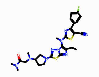 CCc1nc2sc(N3CCC(N(C)CC(=O)N(C)C)C3)nn2c1N(C)c1nc(-c2ccc(F)cc2)c(C#N)s1